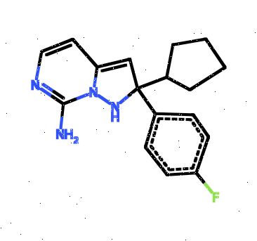 NC1=NC=CC2=CC(c3ccc(F)cc3)(C3CCCC3)NN21